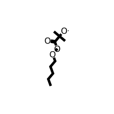 CCCCCOOC(=O)C(C)(C)[O]